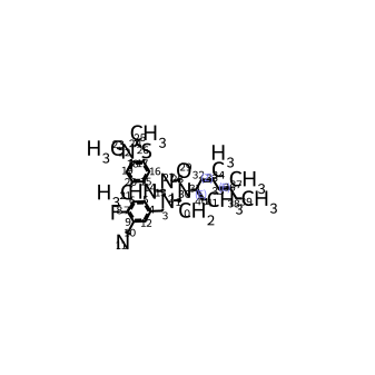 C=C1N(Cc2ccc(F)c(C#N)c2)C(Nc2cc3c(cc2C)N(C)C(C)S3)=NC(=O)N1C(/C=C(C)\C=C(/C)CC)=C/C